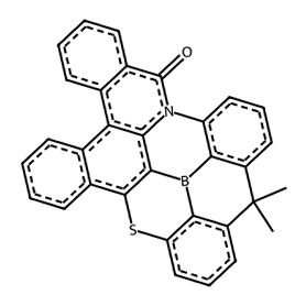 CC1(C)c2cccc3c2B2c4c(cccc41)-n1c(=O)c4ccccc4c4c5ccccc5c(c2c41)S3